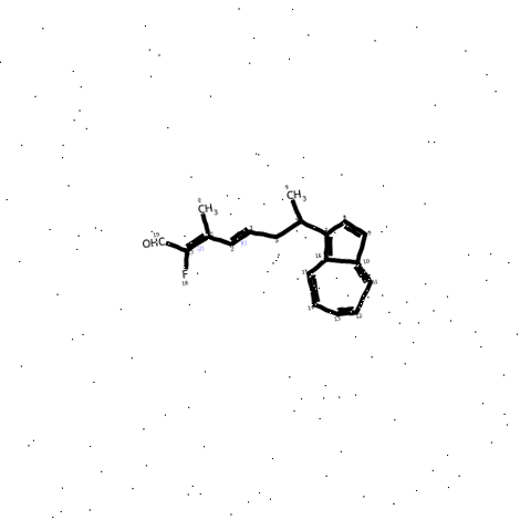 CC(/C=C/CC(C)c1ccc2cccccc1-2)=C(/F)C=O